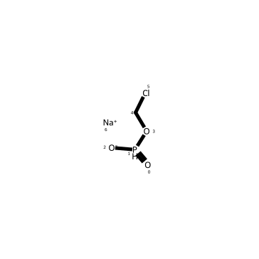 O=[PH]([O-])OCCl.[Na+]